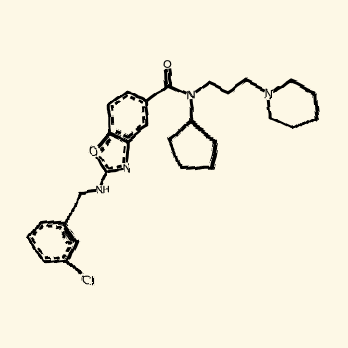 O=C(c1ccc2oc(NCc3cccc(Cl)c3)nc2c1)N(CCCN1CCCCC1)C1CCCC1